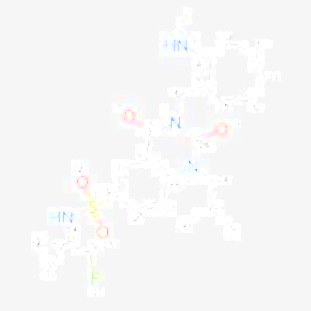 CNC1=C(Cn2c(=O)c3cc(S(=O)(=O)NC4(CF)CC4)ccc3n(CC(C)C)c2=O)C=CC=CC1